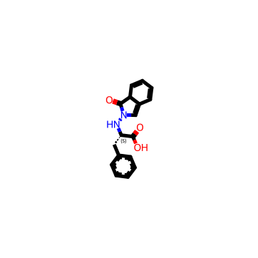 O=C(O)[C@H](Cc1ccccc1)NN1C=C2C=CC=CC2C1=O